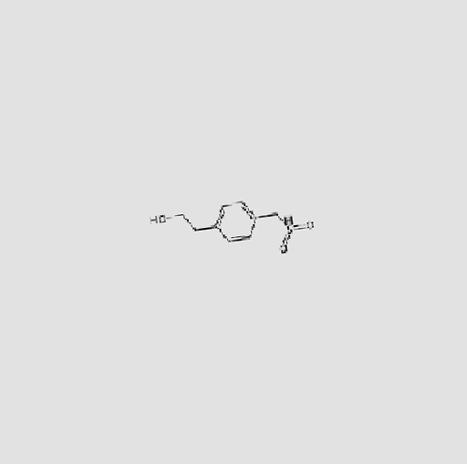 O=[SH](=O)Cc1ccc(CCO)cc1